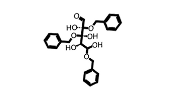 O=C[C@@](O)(OCc1ccccc1)[C@@](O)(OCc1ccccc1)[C@H](O)C(O)OCc1ccccc1